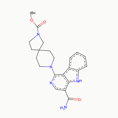 CC(C)(C)OC(=O)N1CCC2(CCN(c3ncc(C(N)=O)c4[nH]c5ccccc5c34)CC2)C1